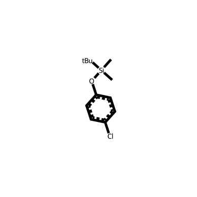 CC(C)(C)[Si](C)(C)Oc1ccc(Cl)cc1